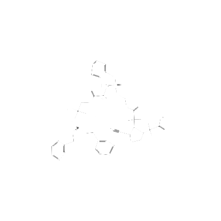 C[C@H](NP(=O)(OCOC(=O)C(C)(C)C1C(C#N)OCC1C(C)(C)C(=O)O)Oc1ccccc1)C(=O)OCC(C)(C)OP(=O)(OCc1ccccc1)OCc1ccccc1